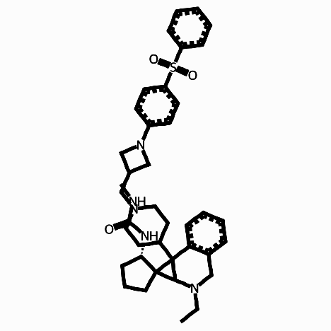 CCN1Cc2ccccc2C2(C3CCN(CC4CN(c5ccc(S(=O)(=O)c6ccccc6)cc5)C4)CC3)C1C21CCC[C@@H]1NC(=O)NC